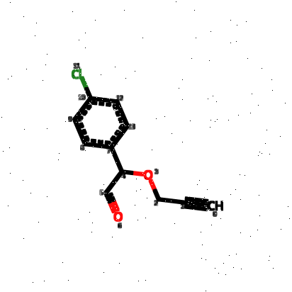 C#CCOC([C]=O)c1ccc(Cl)cc1